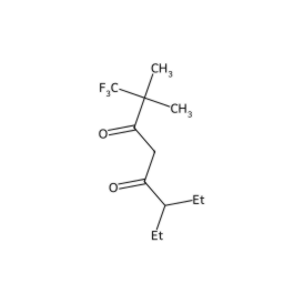 CCC(CC)C(=O)CC(=O)C(C)(C)C(F)(F)F